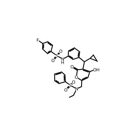 CCN(Cc1cc(O)c(C(c2cccc(NS(=O)(=O)c3ccc(F)cc3)c2)C2CC2)c(=O)o1)S(=O)(=O)c1ccccc1